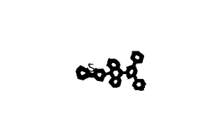 c1ccc(-c2cc(-c3ccccc3)cc(-c3c4ccccc4c(-c4ccc5c(c4)sc4ccccc45)c4ccccc34)c2)cc1